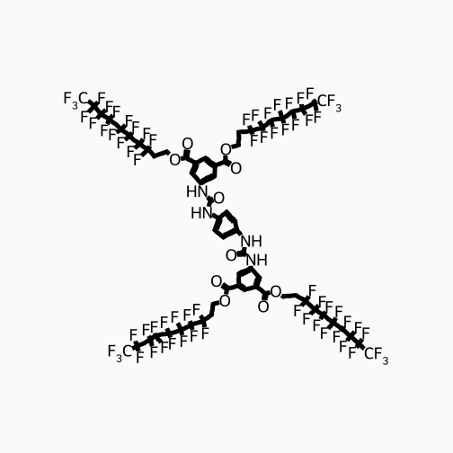 O=C(Nc1ccc(NC(=O)Nc2cc(C(=O)OCCC(F)(F)C(F)(F)C(F)(F)C(F)(F)C(F)(F)C(F)(F)C(F)(F)C(F)(F)F)cc(C(=O)OCCC(F)(F)C(F)(F)C(F)(F)C(F)(F)C(F)(F)C(F)(F)C(F)(F)C(F)(F)F)c2)cc1)Nc1cc(C(=O)OCCC(F)(F)C(F)(F)C(F)(F)C(F)(F)C(F)(F)C(F)(F)C(F)(F)C(F)(F)F)cc(C(=O)OCCC(F)(F)C(F)(F)C(F)(F)C(F)(F)C(F)(F)C(F)(F)C(F)(F)C(F)(F)F)c1